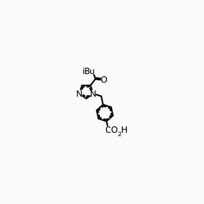 CCC(C)C(=O)c1cncn1Cc1ccc(C(=O)O)cc1